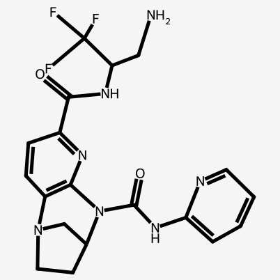 NCC(NC(=O)c1ccc2c(n1)N(C(=O)Nc1ccccn1)C1CCN2C1)C(F)(F)F